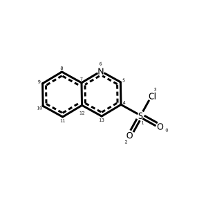 O=S(=O)(Cl)c1cnc2ccccc2c1